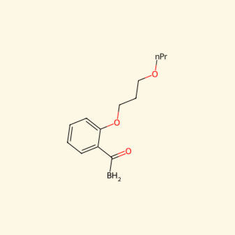 BC(=O)c1ccccc1OCCCOCCC